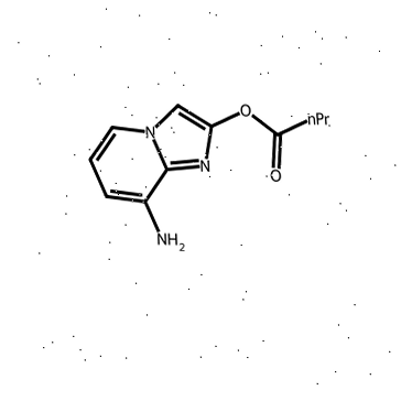 CCCC(=O)Oc1cn2cccc(N)c2n1